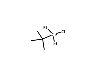 C[CH2][Ge]([Cl])([CH2]C)[C](C)(C)C